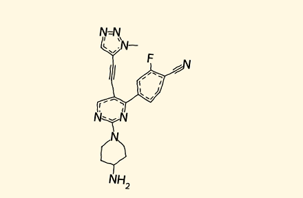 Cn1nncc1C#Cc1cnc(N2CCC(N)CC2)nc1-c1ccc(C#N)c(F)c1